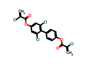 C=C(Cl)C(=O)Oc1ccc(-c2c(Cl)cc(OC(=O)C(=C)Cl)cc2Cl)cc1